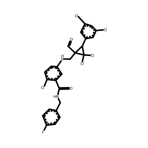 O=CC1(CNc2ccc(Cl)c(C(=O)NCc3ccc(F)cc3)c2)C(c2cc(Cl)cc(Cl)c2)C1(Cl)Cl